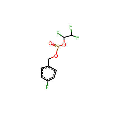 O=S(OCc1ccc(F)cc1)OC(F)C(F)F